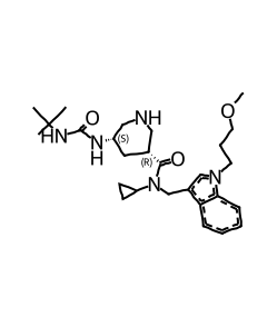 COCCCn1cc(CN(C(=O)[C@H]2CNC[C@@H](NC(=O)NC(C)(C)C)C2)C2CC2)c2ccccc21